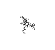 C=CC(=O)NCc1cc(C(C)(C)CCCC)c(O)c(C(C)(C)CCCC)c1